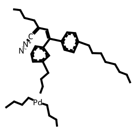 CCCCCCCCc1ccc(C(=CC(=C=[N+]=[N-])CCCC)c2cccc(CCCC)c2)cc1.CCC[CH2][Pd][CH2]CCC